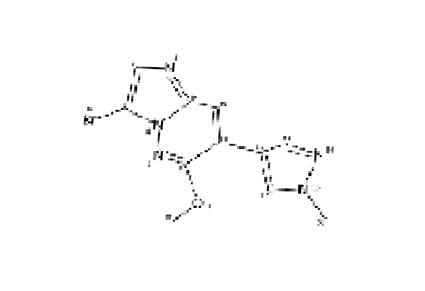 COc1nn2c(Br)cnc2cc1-c1cnn(C)c1